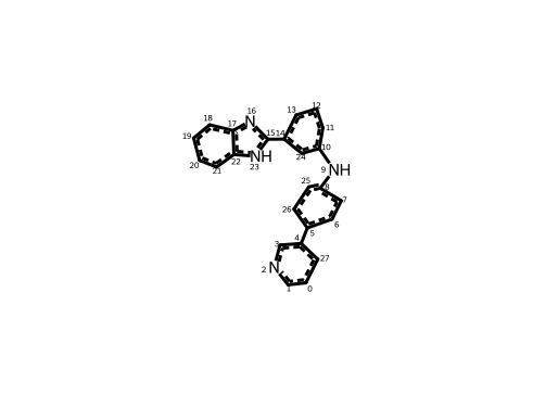 c1cncc(-c2ccc(Nc3cccc(-c4nc5ccccc5[nH]4)c3)cc2)c1